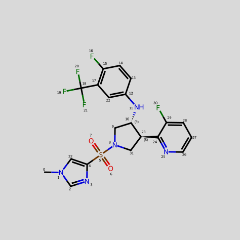 Cn1cnc(S(=O)(=O)N2C[C@H](Nc3ccc(F)c(C(F)(F)F)c3)[C@@H](c3ncccc3F)C2)c1